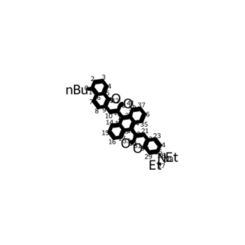 CCCCc1cccc2c1ccc1cc(-c3c4ccccc4c(-c4cc5ccc(N(CC)CC)cc5oc4=O)c4ccccc34)c(=O)oc12